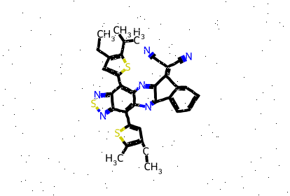 CCc1cc(-c2c3nsnc3c(-c3cc(CC)c(C(C)C)s3)c3nc4c(nc23)-c2ccccc2C4=C(C#N)C#N)sc1C